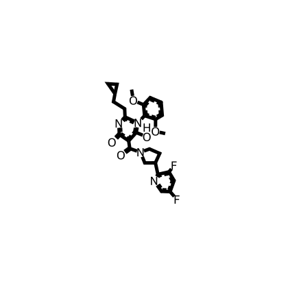 COc1cccc(OC)c1-n1c(CCC2CC2)nc(=O)c(C(=O)N2CCC(c3ncc(F)cc3F)C2)c1O